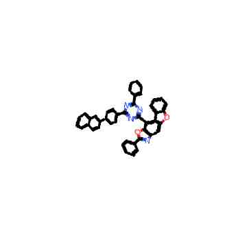 c1ccc(-c2nc(-c3ccc(-c4ccc5ccccc5c4)cc3)nc(-c3c4oc(-c5ccccc5)nc4cc4oc5ccccc5c34)n2)cc1